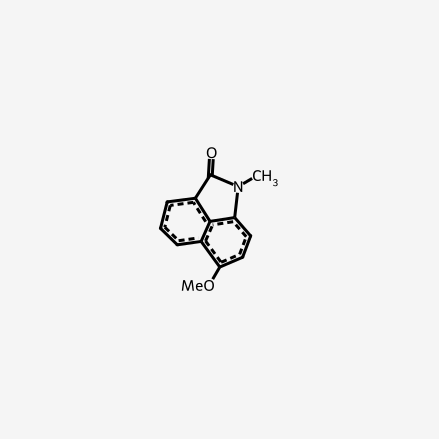 COc1ccc2c3c(cccc13)C(=O)N2C